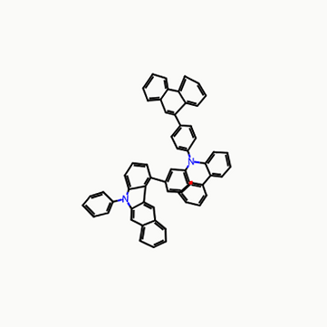 c1ccc(-c2ccccc2N(c2ccc(-c3cc4ccccc4c4ccccc34)cc2)c2cccc(-c3cccc4c3c3cc5ccccc5cc3n4-c3ccccc3)c2)cc1